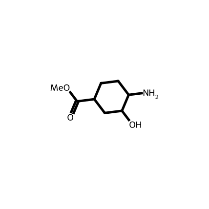 COC(=O)C1CCC(N)C(O)C1